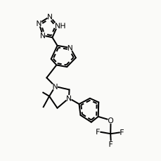 CC1(C)CN(c2ccc(OC(F)(F)F)cc2)CN1Cc1ccnc(-c2nnn[nH]2)c1